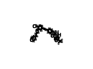 CC(C)(C)c1cc(NC(=O)Nc2ccc(C#Cc3ccc(Cl)c(OCCCN4CCOCC4)c3)cc2)no1